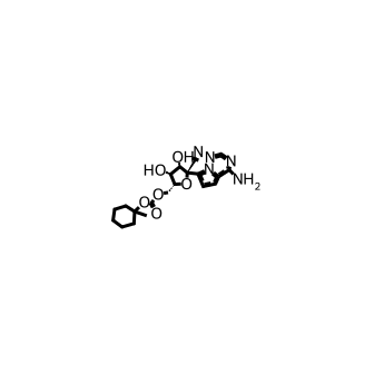 CC1(OC(=O)OC[C@H]2O[C@@](C#N)(c3ccc4c(N)ncnn34)[C@H](O)[C@@H]2O)CCCCC1